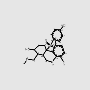 COCC1C(O)CCC2(S(=O)(=O)c3ccc(Cl)cc3)c3c(F)ccc(F)c3OCC12